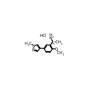 COc1ccc(-c2cnn(C)c2)cc1[C@@H](C)N.Cl